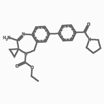 CCOC(=O)N1Cc2cc(-c3ccc(C(=O)N4CCCC4)cc3)ccc2N=C(N)C12CC2